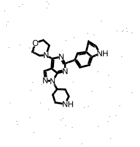 c1cc2cc(-c3nc(N4CCOCC4)c4cnn(C5CCNCC5)c4n3)ccc2[nH]1